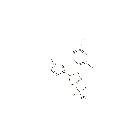 Fc1ccc(N2N=C(C(F)(F)C(F)(F)F)CC2c2ccc(Br)s2)c(F)c1